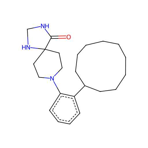 O=C1NCNC12CCN(c1ccccc1C1CCCCCCCCC1)CC2